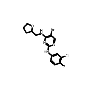 Fc1ccc(Nc2ncc(Br)c(NCC3CCCO3)n2)cc1Cl